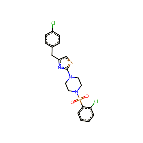 O=S(=O)(c1ccccc1Cl)N1CCN(c2nc(Cc3ccc(Cl)cc3)cs2)CC1